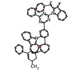 CC1C=C(c2ccccc2)C=C(c2cccc(-c3ccc(-c4nc(-c5ccccc5)nc(-n5c6ccccc6c6cccc(-c7ccccc7)c65)n4)cc3-n3c4ccccc4c4ccccc43)c2)C1